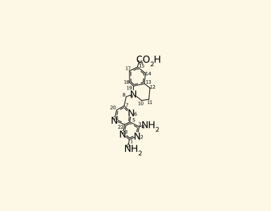 Nc1nc(N)c2nc(CN3CCCc4cc(C(=O)O)ccc43)cnc2n1